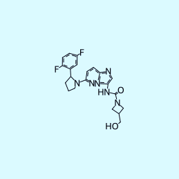 O=C(Nc1cnc2ccc(N3CCCC3c3cc(F)ccc3F)nn12)N1CC(CO)C1